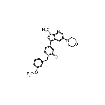 Cn1cc(-c2ccn(Cc3cccc(OC(F)(F)F)c3)c(=O)c2)c2cc(N3CCOCC3)cnc21